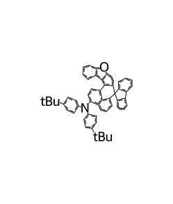 CC(C)(C)c1ccc(N(c2ccc(C(C)(C)C)cc2)c2ccc3c4c(cccc24)C2(c4ccccc4-c4ccccc42)c2ccc4oc5ccccc5c4c2-3)cc1